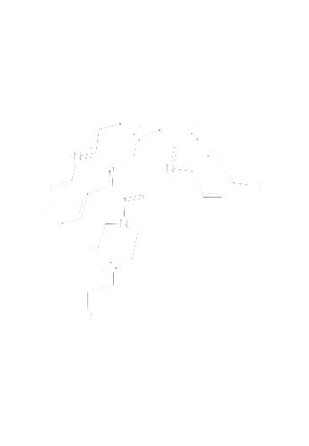 O=C(c1c2c(nc3ccccc13)CCN(Cc1nc3ccc(Cl)cc3[nH]1)C2)N1CCN(CCO)CC1